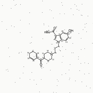 CCCCC(=O)c1cn(CCCN2CCC(C(=O)C3=CCCC=C3)CC2)c2ccc(O)cc12